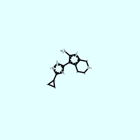 Nc1sc2c(c1-c1nc(C3CC3)no1)CCOC2